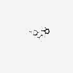 CC(N)c1nc2cccc(Cl)c2c(=O)n1C1CCN(C(=O)O)CC1(F)F